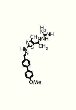 COc1ccc(-c2ccc(C=NNc3nc(C)c(C(C)=NNC(=N)N)s3)cc2)cc1